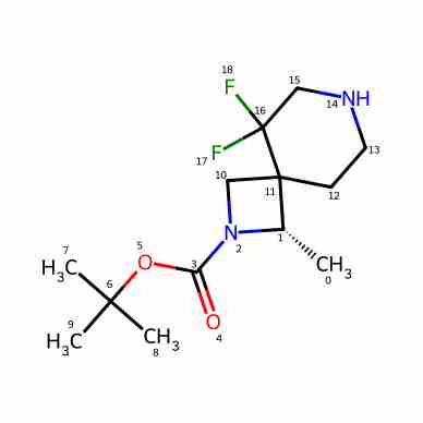 C[C@@H]1N(C(=O)OC(C)(C)C)CC12CCNCC2(F)F